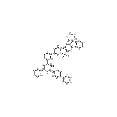 CC1(C)c2cc(-c3cccc(C4C=C(c5ccccc5)N=C(c5ccc(-c6ccccc6)cc5)N4)c3)ccc2-c2cc3c(cc21)-c1ccccc1C31CCCCC1